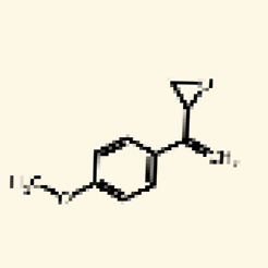 C=C(c1ccc(OC)cc1)C1CO1